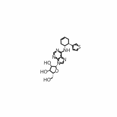 OC[C@H]1O[C@@H](n2cnc3c(N[C@@H]4CC=CC[C@H]4c4ccsc4)ncnc32)[C@H](O)[C@@H]1O